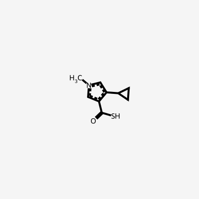 Cn1cc(C(=O)S)c(C2CC2)c1